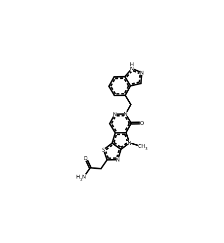 Cn1c2nc(CC(N)=O)sc2c2cnn(Cc3cccc4[nH]ncc34)c(=O)c21